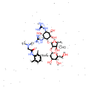 CCN(CC)CC(=O)Nc1c(C)cccc1C.CN[C@@H]1[C@H](O[C@H]2[C@H](O[C@H]3[C@H](O)[C@@H](O)[C@H](NC(=N)N)[C@@H](O)[C@@H]3NC(=N)N)O[C@@H](C)[C@]2(O)C=O)O[C@@H](CO)[C@H](O)[C@H]1O